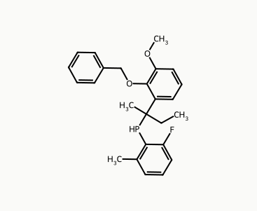 CCC(C)(Pc1c(C)cccc1F)c1cccc(OC)c1OCc1ccccc1